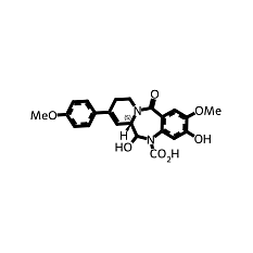 COc1ccc(C2=C[C@H]3C(O)N(C(=O)O)c4cc(O)c(OC)cc4C(=O)N3CC2)cc1